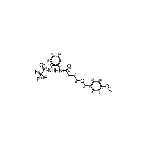 COc1ccc(COCCCC(=O)Nc2ccccc2NC(=O)C(F)(F)F)cc1